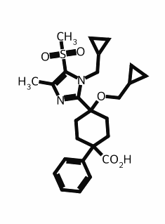 Cc1nc(C2(OCC3CC3)CCC(C(=O)O)(c3ccccc3)CC2)n(CC2CC2)c1S(C)(=O)=O